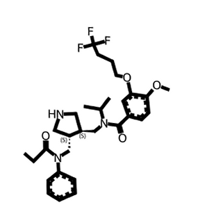 CCC(=O)N(C[C@@H]1CNC[C@H]1CN(C(=O)c1ccc(OC)c(OCCCC(F)(F)F)c1)C(C)C)c1ccccc1